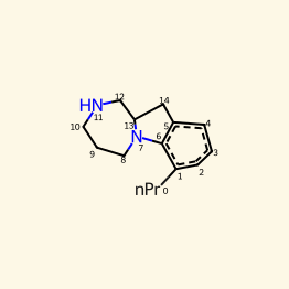 CCCc1cccc2c1N1CCCNCC1C2